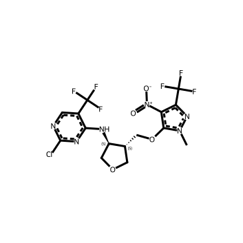 Cn1nc(C(F)(F)F)c([N+](=O)[O-])c1OC[C@@H]1COC[C@H]1Nc1nc(Cl)ncc1C(F)(F)F